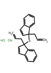 C=CC[C]1([Ti][C]2(CC=C)C=Cc3ccccc32)C=Cc2ccccc21.Cl.Cl